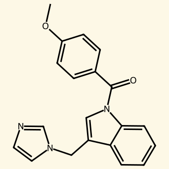 COc1ccc(C(=O)n2cc(Cn3ccnc3)c3ccccc32)cc1